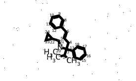 CC(C)C(CC=Cc1ccccc1)(c1ccccc1)N(C)CC1CC1